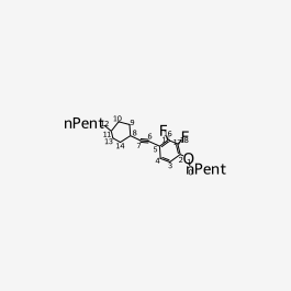 CCCCCOc1ccc(C#CC2CCC(CCCCC)CC2)c(F)c1F